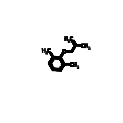 C=C(C)COc1c(C)cccc1C